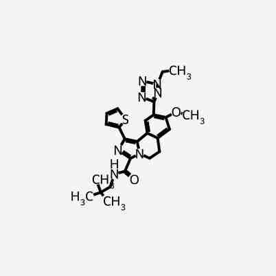 CCn1nnc(-c2cc3c(cc2OC)CCn2c(C(=O)NCC(C)(C)C)nc(-c4cccs4)c2-3)n1